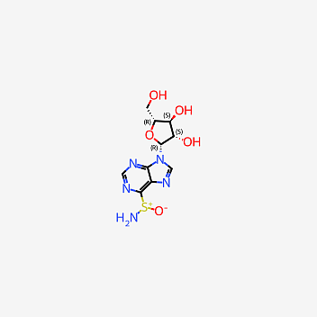 N[S+]([O-])c1ncnc2c1ncn2[C@@H]1O[C@H](CO)[C@@H](O)[C@@H]1O